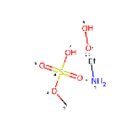 CCN.COS(=O)(=O)O.[O]O